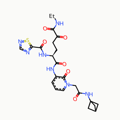 CCNC(=O)C(=O)CC[C@H](NC(=O)c1ncns1)C(=O)Nc1cccn(CC(=O)NC23CC(C2)C3)c1=O